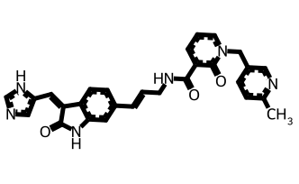 Cc1ccc(Cn2cccc(C(=O)NC/C=C/c3ccc4c(c3)NC(=O)C4=Cc3cnc[nH]3)c2=O)cn1